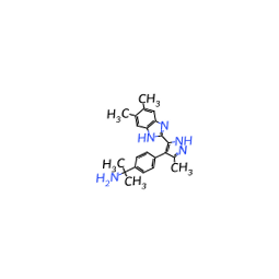 Cc1cc2nc(-c3[nH]nc(C)c3-c3ccc(C(C)(C)N)cc3)[nH]c2cc1C